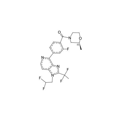 C[C@H]1CN(C(=O)c2ccc(-c3nccc4c3nc(C(C)(F)F)n4CC(F)F)cc2F)CCO1